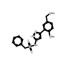 COCc1ccc(OC)c(-c2cc(NS(=O)(=O)Cc3ccccc3)no2)c1